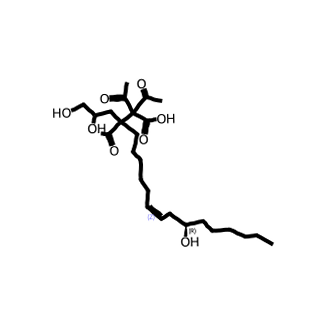 CCCCCC[C@@H](O)C/C=C\CCCCCC(CC(O)CO)(C(C)=O)C(C(C)=O)(C(C)=O)C(=O)O